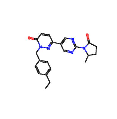 CCc1ccc(Cn2nc(-c3cnc(N4C(=O)CCC4C)nc3)ccc2=O)cc1